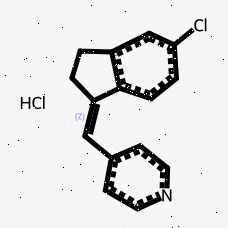 Cl.Clc1ccc2c(c1)CC/C2=C/c1ccncc1